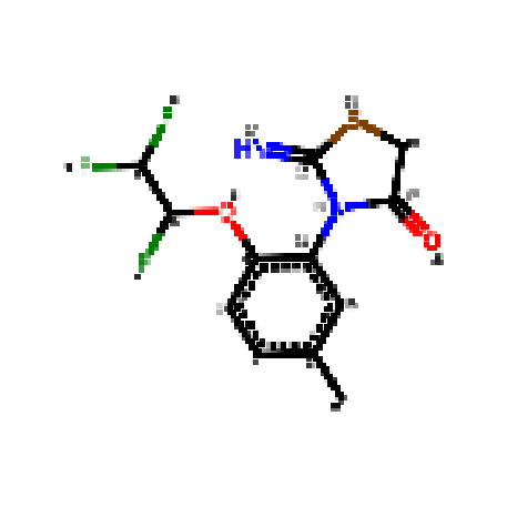 Cc1ccc(OC(F)C(F)F)c(N2C(=N)SCC2=O)c1